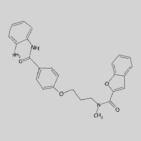 CN(CCCOc1ccc(C(=O)Nc2ccccc2N)cc1)C(=O)c1cc2ccccc2o1